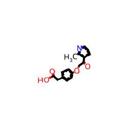 Cc1ncccc1C(=O)COc1ccc(CC(=O)O)cc1